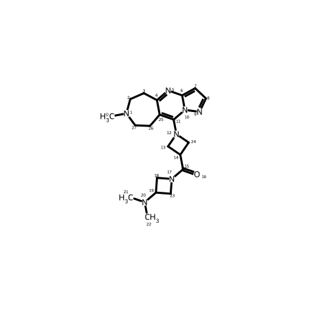 CN1CCc2nc3ccnn3c(N3CC(C(=O)N4CC(N(C)C)C4)C3)c2CC1